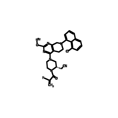 C=C(F)C(=O)N1CCN(c2nc(OCCC)nc3c2CCN(c2cccc4cccc(Cl)c24)C3)C[C@@H]1CC#N